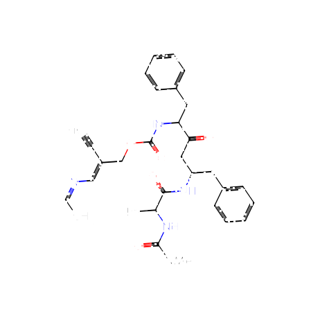 C#C/C(=C\N=C/C)COC(=O)NC(Cc1ccccc1)C(=O)CC(Cc1ccccc1)NC(=O)C(NC(=O)NC)C(C)C